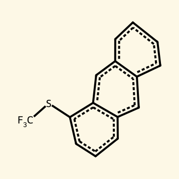 FC(F)(F)Sc1cccc2cc3ccccc3cc12